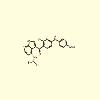 CCC(CC)Nc1ncnc2[nH]cc(C(=O)c3ccc(Nc4ccc(OC)nc4)nc3F)c12